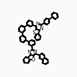 c1ccc(-c2ccc(-c3nc(-c4cccc(-c5cccc(-c6cccc(-c7cccc(-c8nc(-c9ccc%10ccccc%10c9)c9oc%10ccccc%10c9n8)c7)c6)c5)c4)c4sc5ccccc5c4n3)cc2)cc1